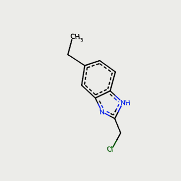 CCc1ccc2[nH]c(CCl)nc2c1